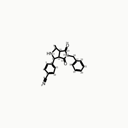 CC1NC(c2ccc(C#N)cc2)C2C(=O)N(Cc3ccccc3)C(=O)C12